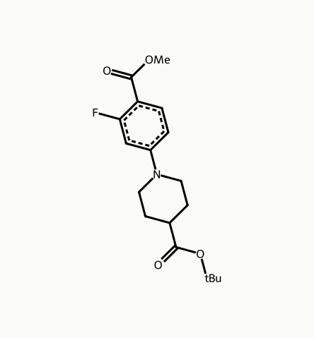 COC(=O)c1ccc(N2CCC(C(=O)OC(C)(C)C)CC2)cc1F